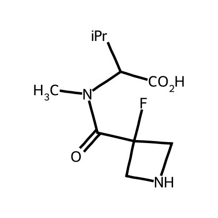 CC(C)C(C(=O)O)N(C)C(=O)C1(F)CNC1